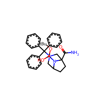 CC(C)(C)OC(O)N1C2CCC1(C(N)=O)CN(C(c1ccccc1)(c1ccccc1)c1ccccc1)C2